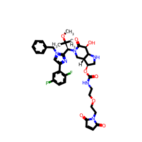 COC(C)(C)[C@H](c1nc(-c2cc(F)ccc2F)cn1Cc1ccccc1)N1C[C@@H]2C(NC[C@H]2OC(=O)NCCOCCN2C(=O)C=CC2=O)[C@H](O)C1=O